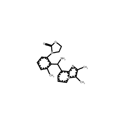 Cc1cccc(N2CCOC2=O)c1C(N)c1cccn2c(C)c(C)nc12